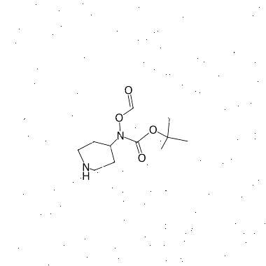 CC(C)(C)OC(=O)N(OC=O)C1CCNCC1